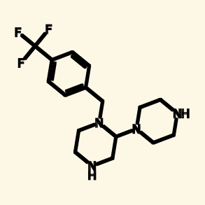 FC(F)(F)c1ccc(CN2CCNCC2N2CCNCC2)cc1